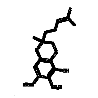 CCCCCc1cc2c(c(O)c1C(=O)O)CCC(C)(CCC=C(C)C)O2